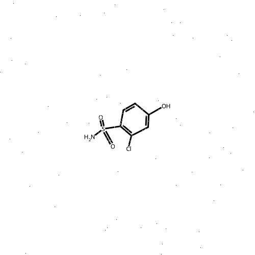 NS(=O)(=O)c1ccc(O)cc1Cl